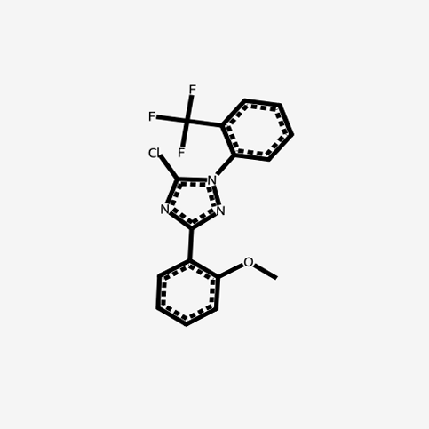 COc1ccccc1-c1nc(Cl)n(-c2ccccc2C(F)(F)F)n1